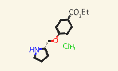 CCOC(=O)C1CCC(OC[C@@H]2CCCN2)CC1.Cl